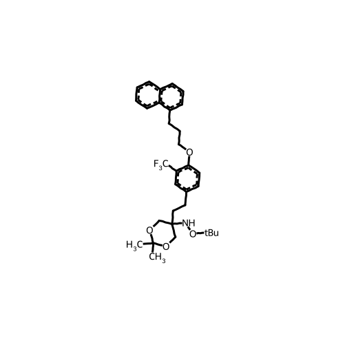 CC(C)(C)ONC1(CCc2ccc(OCCCc3cccc4ccccc34)c(C(F)(F)F)c2)COC(C)(C)OC1